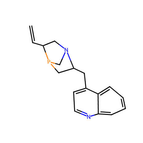 C=CC1CN2CP1CC2Cc1ccnc2ccccc12